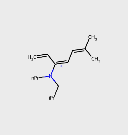 C=C/C(=C\C=C(C)C)N(CCC)CC(C)C